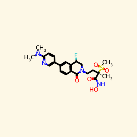 CN(C)c1ccc(-c2ccc3c(c2)C(F)CN(CC[C@](C)(C(=O)NO)S(C)(=O)=O)C3=O)cn1